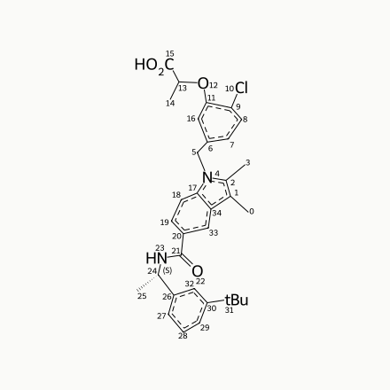 Cc1c(C)n(Cc2ccc(Cl)c(OC(C)C(=O)O)c2)c2ccc(C(=O)N[C@@H](C)c3cccc(C(C)(C)C)c3)cc12